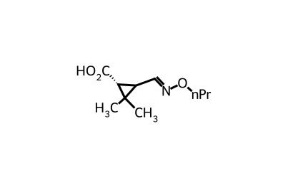 CCCON=CC1[C@@H](C(=O)O)C1(C)C